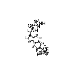 CC(N[S+]([O-])c1nc[nH]n1)[C@@H]1CCC2c3ccc(C(F)(C(F)(F)F)C(F)(F)F)cc3CCC21